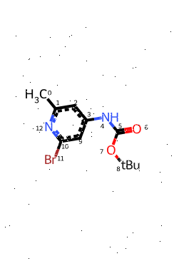 Cc1cc(NC(=O)OC(C)(C)C)cc(Br)n1